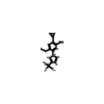 CCc1cc(C2CC2)c(S)cc1-n1cnc(C(F)(F)F)n1